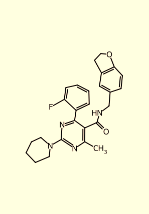 Cc1nc(N2CCCCC2)nc(-c2ccccc2F)c1C(=O)NCc1ccc2c(c1)CCO2